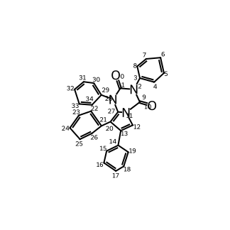 O=c1n(-c2ccccc2)c(=O)n2cc(-c3ccccc3)c(-c3ccccc3)c2n1-c1ccccc1